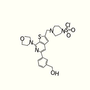 O=S(=O)(Cl)N1CCN(Cc2cc3cc(-c4cccc(CO)c4)nc(N4CCOCC4)c3s2)CC1